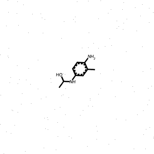 Cc1cc(NC(C)O)ccc1N